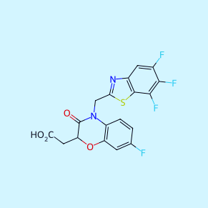 O=C(O)CC1Oc2cc(F)ccc2N(Cc2nc3cc(F)c(F)c(F)c3s2)C1=O